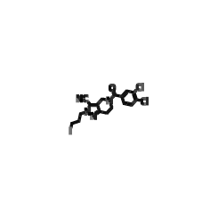 N#Cc1c2c(nn1CCCI)CCN(C(=O)c1ccc(Cl)c(Cl)c1)C2